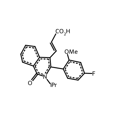 COc1cc(F)ccc1-c1c(C=CC(=O)O)c2ccccc2c(=O)n1C(C)C